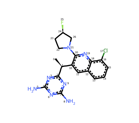 C[C@H](c1nc(N)nc(N)n1)c1cc2cccc(Cl)c2nc1N1CC[C@@H](F)C1